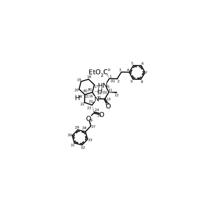 CCOC(=O)[C@H](CCc1ccccc1)N[C@@H](C)C(=O)N1[C@@H]2CCCC[C@@H]2C[C@H]1C(=O)OCc1ccccc1